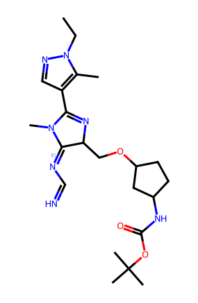 CCn1ncc(C2=NC(COC3CCC(NC(=O)OC(C)(C)C)C3)/C(=N\C=N)N2C)c1C